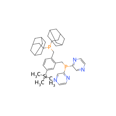 C[Si](C)(C)c1ccc(CP(C23CC4CC(CC(C4)C2)C3)C23CC4CC(CC(C4)C2)C3)c(CP(c2cnccn2)c2cnccn2)c1